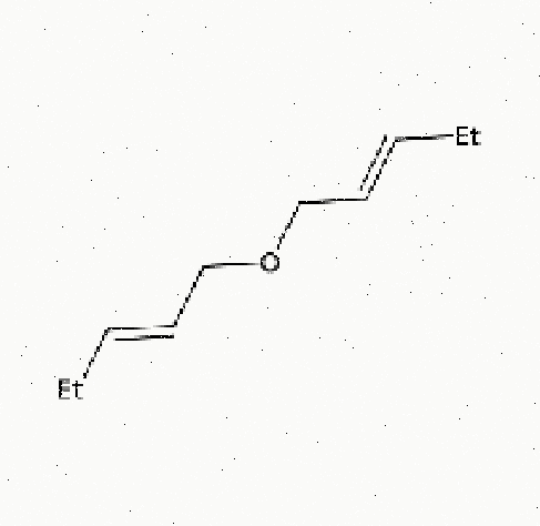 CCC=CCOCC=CCC